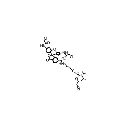 CC(C)N(C(C)C)P(OCCC#N)OCCCCCCNC(=O)c1ccc2c(c1)C1(OC2=O)c2ccc(NC(=O)CCl)cc2Oc2cc(NC(=O)CCl)ccc21